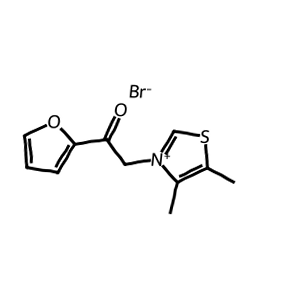 Cc1sc[n+](CC(=O)c2ccco2)c1C.[Br-]